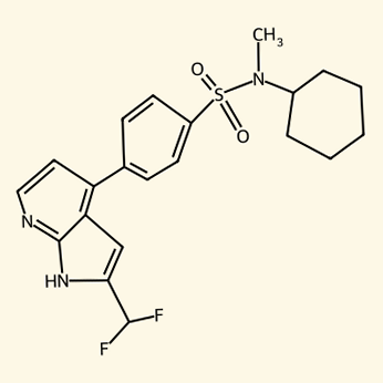 CN(C1CCCCC1)S(=O)(=O)c1ccc(-c2ccnc3[nH]c(C(F)F)cc23)cc1